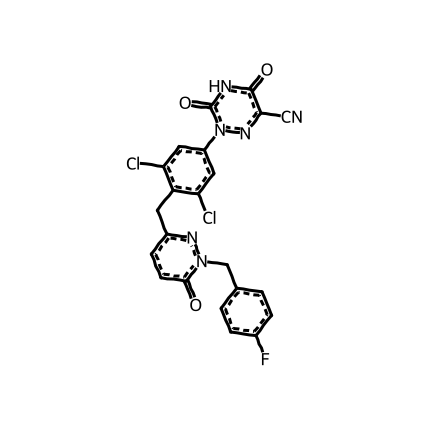 N#Cc1nn(-c2cc(Cl)c(Cc3ccc(=O)n(Cc4ccc(F)cc4)n3)c(Cl)c2)c(=O)[nH]c1=O